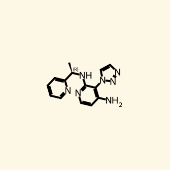 C[C@@H](Nc1nccc(N)c1-n1ccnn1)c1ccccn1